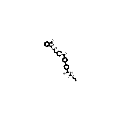 C=CCOC(=O)NC(=N)c1ccc(-c2ccc(C(=O)N3CCC(CC(=O)OC4OC(=O)c5ccccc54)CC3)cc2)cc1